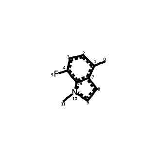 Cc1ccc(F)c2c1ccn2C